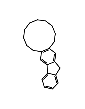 [CH]1c2ccccc2-c2cc3c(cc21)CCCCCCCCCC3